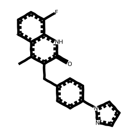 Cc1c(Cc2ccc(-n3cccn3)cc2)c(=O)[nH]c2c(F)cc[c]c12